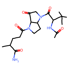 CC(=O)NC(C(=O)N1CC(=O)C2C1CCN2C(=O)[CH]CC(C)C(N)=O)C(C)(C)C